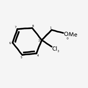 [C]OCC1(Cl)C=CC=CC1